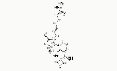 CCCC1(C(O)c2cccc([C@H]3[C@H](O)CC(=O)[C@@H]3CC=CCCCC(=O)NCC)c2)CCC1